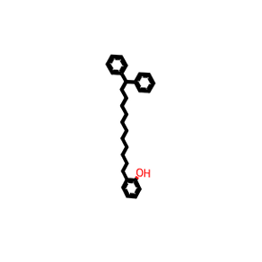 Oc1ccccc1CCCCCCCCCCCC(c1ccccc1)c1ccccc1